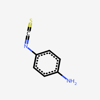 Nc1ccc(N=C=S)cc1